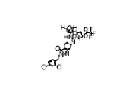 C[C@@H]1[C@@H](OC(=O)C(F)(F)F)CCN1C(=Nc1ccc2c(=O)n(CCc3ccc(Cl)cc3Cl)cnc2c1)NC1C[C@H]2C[C@H]([C@H]1C)C2(C)C